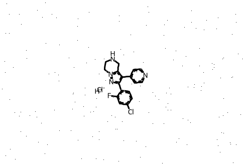 Fc1cc(Cl)ccc1-c1nn2c(c1-c1ccncc1)CNCC2.[Cl-].[H+]